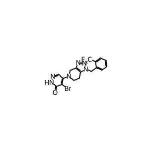 O=c1[nH]ncc(N2CCc3c(nnn3Cc3ccccc3C(F)(F)F)C2)c1Br